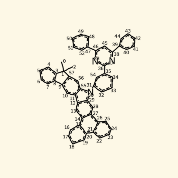 CC1(C)c2ccccc2-c2cc3c4cc5c6ccccc6c6ccccc6c5cc4n(-c4cccc(-c5nc(-c6ccccc6)cc(-c6ccccc6)n5)c4)c3cc21